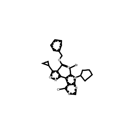 O=C(OCc1ccccc1)c1c(-c2c(CBr)n(C3CCCC3)c3ncnc(Cl)c23)noc1C1CC1